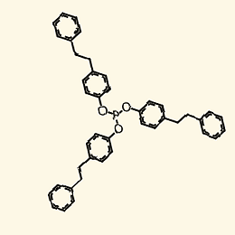 c1ccc(CCc2ccc(OP(Oc3ccc(CCc4ccccc4)cc3)Oc3ccc(CCc4ccccc4)cc3)cc2)cc1